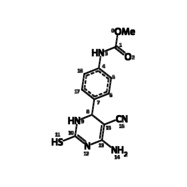 COC(=O)Nc1ccc(C2NC(S)=NC(N)=C2C#N)cc1